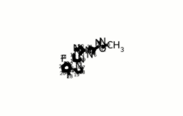 Cc1nnc(-c2cnn(-c3cnn4ccc(N5CCC[C@@H]5c5cc(F)ccc5F)nc34)c2)o1